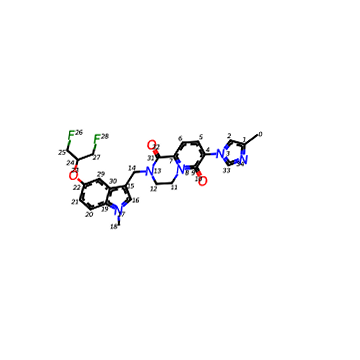 Cc1cn(-c2ccc3n(c2=O)CCN(Cc2cn(C)c4ccc(OC(CF)CF)cc24)C3=O)cn1